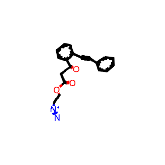 N#[N+]CCOC(=O)CC(=O)c1ccccc1C#Cc1ccccc1